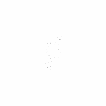 CC1(C)c2c(-c3cccc(-c4cccc(-c5cc(-c6ccccc6)cc(-c6ccccc6)c5)c4)c3)nc(-c3ccccc3)nc2-c2ccc3ccccc3c21